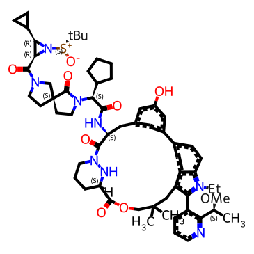 CCn1c(-c2cccnc2[C@H](C)OC)c2c3cc(ccc31)-c1cc(O)cc(c1)C[C@H](NC(=O)[C@H](C1CCCC1)N1CC[C@]3(CCN(C(=O)[C@H]4[C@@H](C5CC5)N4[S@+]([O-])C(C)(C)C)C3)C1=O)C(=O)N1CCC[C@H](N1)C(=O)OCC(C)(C)C2